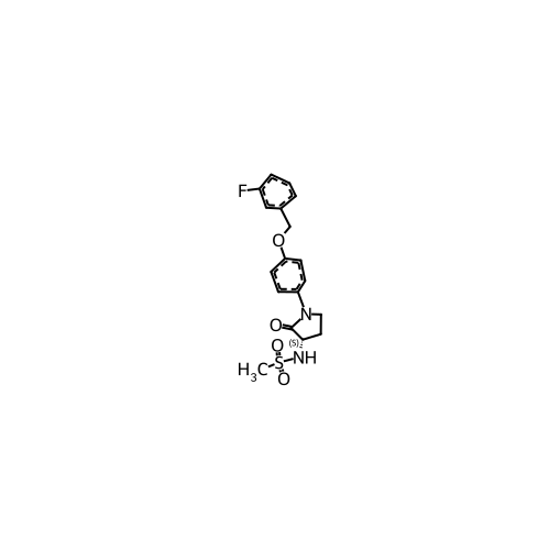 CS(=O)(=O)N[C@H]1CCN(c2ccc(OCc3cccc(F)c3)cc2)C1=O